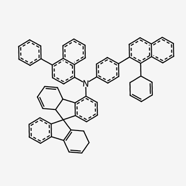 C1=CCC(c2c(-c3ccc(N(c4cccc5c4C4C=CC=CC4C54C5=C(C=CCC5)c5ccccc54)c4ccc(-c5ccccc5)c5ccccc45)cc3)ccc3ccccc23)C=C1